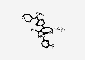 CC(C)c1nn(-c2cccc(F)c2)c2nc(C(=O)O)cc(-c3ccc(N(C)C4CCOCC4)cc3)c12